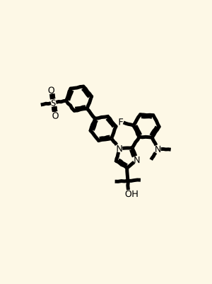 CN(C)c1cccc(F)c1-c1nc(C(C)(C)O)cn1-c1ccc(-c2cccc(S(C)(=O)=O)c2)cc1